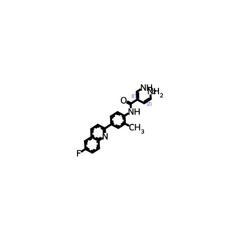 Cc1cc(-c2ccc3cc(F)ccc3n2)ccc1NC(=O)C(/C=C\N)=C/N